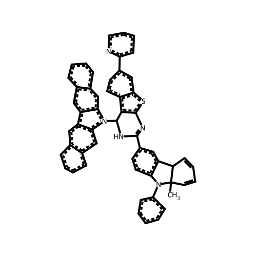 CC12C=CC=CC1c1cc(C3=Nc4sc5cc(-c6ccccn6)ccc5c4C(n4c5cc6ccccc6cc5c5cc6ccccc6cc54)N3)ccc1N2c1ccccc1